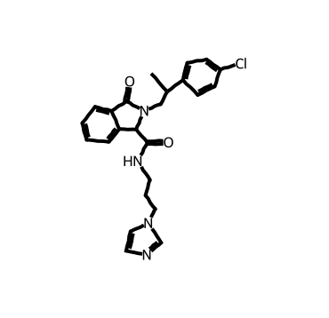 CC(CN1C(=O)c2ccccc2C1C(=O)NCCCn1ccnc1)c1ccc(Cl)cc1